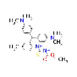 CCOC(=O)NC(=S)Nc1ccc(C)cc1C(c1ccc(N(C)C)cc1)c1ccc(N(C)C)cc1